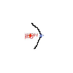 CCCCCCCCCCCC[N+](C)(C)CCCCCCCCCCCC.O=P(O)(O)O